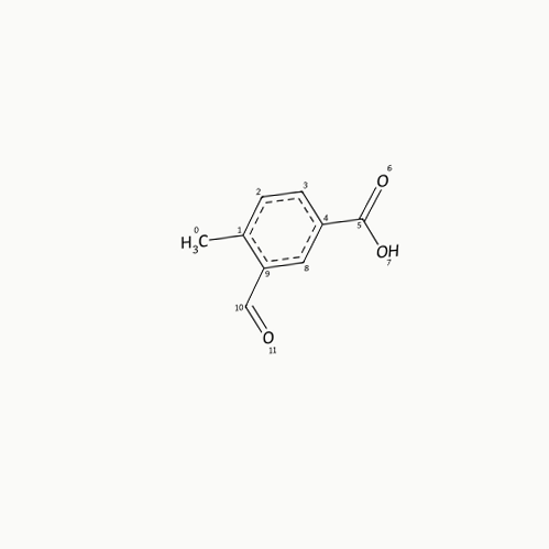 Cc1ccc(C(=O)O)cc1C=O